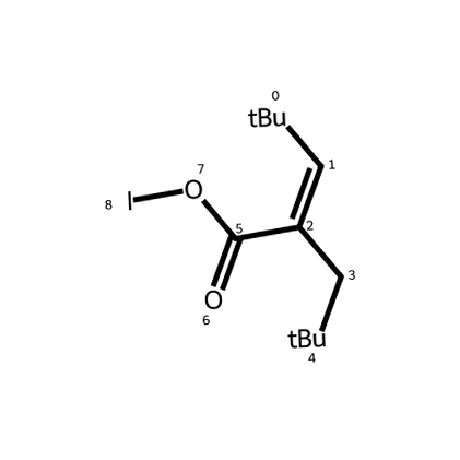 CC(C)(C)C=C(CC(C)(C)C)C(=O)OI